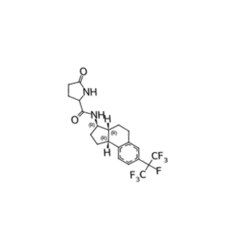 O=C1CCC(C(=O)N[C@@H]2CC[C@H]3c4ccc(C(F)(C(F)(F)F)C(F)(F)F)cc4CC[C@@H]23)N1